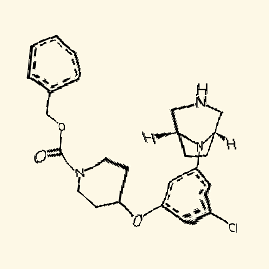 O=C(OCc1ccccc1)N1CCC(Oc2cc(Cl)cc(N3[C@@H]4CC[C@H]3CNC4)c2)CC1